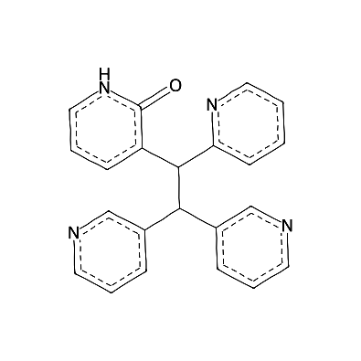 O=c1[nH]cccc1C(c1ccccn1)C(c1cccnc1)c1cccnc1